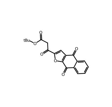 CC(C)(C)OC(=O)CC(=O)c1cc2c(o1)C(=O)c1ccccc1C2=O